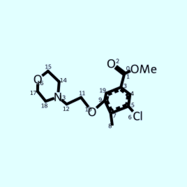 COC(=O)c1cc(Cl)c(C)c(OCCN2CCOCC2)c1